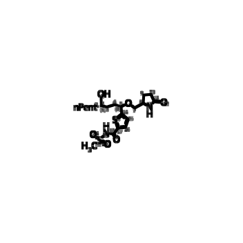 CCCCC[C@H](O)CC[C@@H](OCC1CCC(=O)N1)c1ccc(C(=O)NS(C)(=O)=O)s1